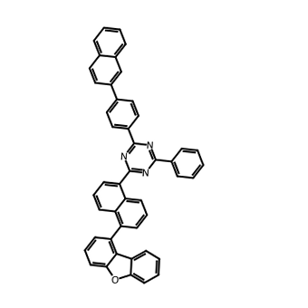 c1ccc(-c2nc(-c3ccc(-c4ccc5ccccc5c4)cc3)nc(-c3cccc4c(-c5cccc6oc7ccccc7c56)cccc34)n2)cc1